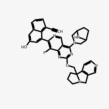 C#Cc1cccc2cc(O)cc(-c3ncc4c(N5CC6CCC(C5)N6)nc(OCC56CCCN5Cc5cnccc56)nc4c3F)c12